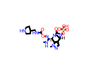 CN/C(=N\OC(=O)NCC1CCNCC1)[C@@H]1c2c(cnn2C)[C@H]2CN1C(=O)N2OS(=O)(=O)O